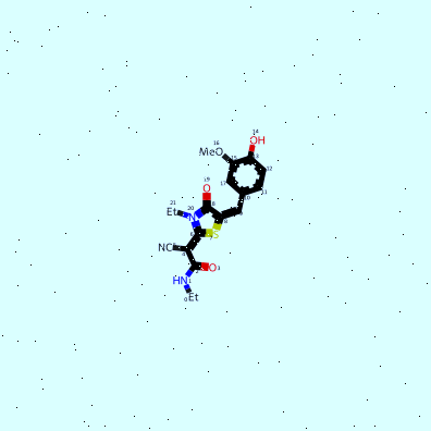 CCNC(=O)/C(C#N)=c1\sc(=Cc2ccc(O)c(OC)c2)c(=O)n1CC